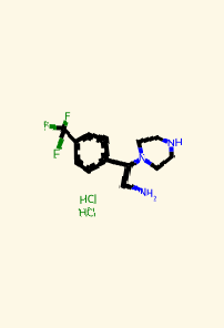 Cl.Cl.NCC(c1ccc(C(F)(F)F)cc1)N1CCNCC1